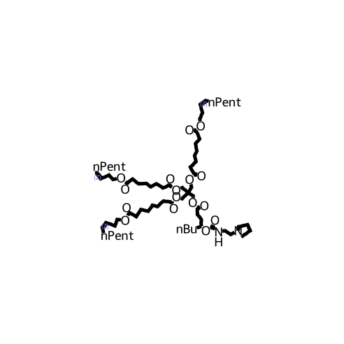 CCCCC/C=C\CCOC(=O)CCCCCCC(=O)OCC(COC(=O)CCCCCCC(=O)OCC/C=C\CCCCC)(COC(=O)CCCCCCC(=O)OCC/C=C\CCCCC)COC(=O)CCC(CCCC)OC(=O)NCCN1CCCC1